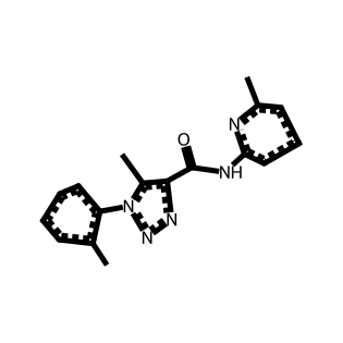 Cc1cccc(NC(=O)c2nnn(-c3ccccc3C)c2C)n1